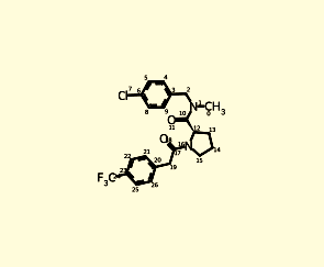 CN(Cc1ccc(Cl)cc1)C(=O)[C@H]1CCCN1C(=O)Cc1ccc(C(F)(F)F)cc1